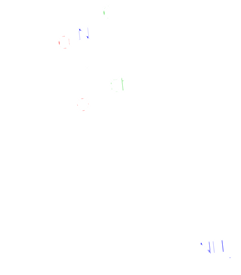 CCCc1onc(-c2c(Cl)cccc2Cl)c1COc1ccc2cc(-c3cccc(CN)c3)ccc2c1